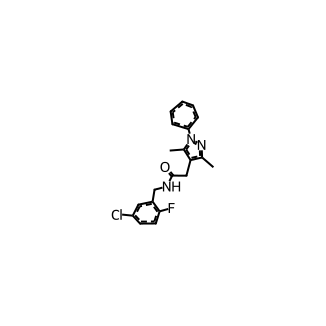 Cc1nn(-c2ccccc2)c(C)c1CC(=O)NCc1cc(Cl)ccc1F